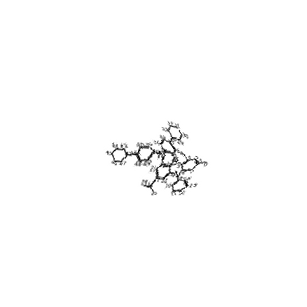 Cc1cc(C)c2c(c1)N(c1ccccc1)c1cc(C(C)C)cc3c1B2c1cc(C2CCCCC2)ccc1N3c1ccc(C2CCCCC2)cc1